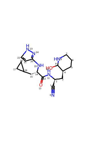 N#C[C@H](C[C@@H]1CCCNC1O)NC(=O)[C@H](CC1CC1)Nc1cc[nH]n1